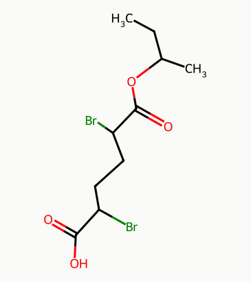 CCC(C)OC(=O)C(Br)CCC(Br)C(=O)O